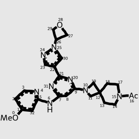 COc1ccnc(Nc2cc(N3CC4(CCN(C(C)=O)CC4)C3)nc(-c3cnn(C4COC4)c3)n2)c1